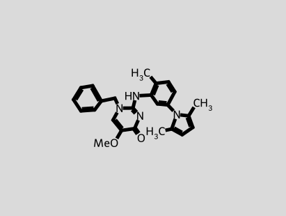 COc1cn(Cc2ccccc2)c(Nc2cc(-n3c(C)ccc3C)ccc2C)nc1=O